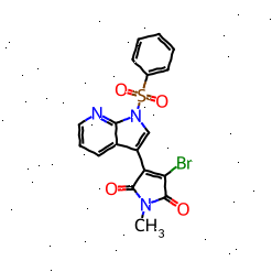 CN1C(=O)C(Br)=C(c2cn(S(=O)(=O)c3ccccc3)c3ncccc23)C1=O